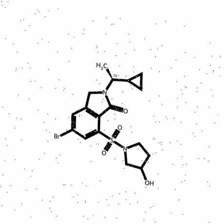 C[C@@H](C1CC1)N1Cc2cc(Br)cc(S(=O)(=O)N3CCC(O)C3)c2C1=O